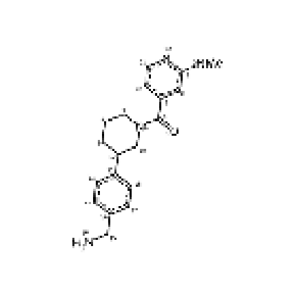 CNc1cc(C(=O)N2CCCC(c3ccc(CN)cc3)C2)ccn1